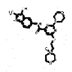 Cc1[nH]c2ccc(NC(=O)c3cc(OCC[N+]4([O-])CCOCC4)nc(N4CCOCC4)n3)cc2c1C